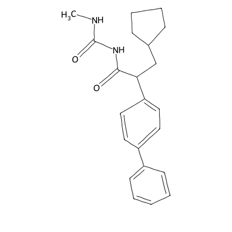 CNC(=O)NC(=O)C(CC1CCCC1)c1ccc(-c2ccccc2)cc1